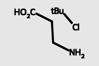 CC(C)(C)Cl.NCCC(=O)O